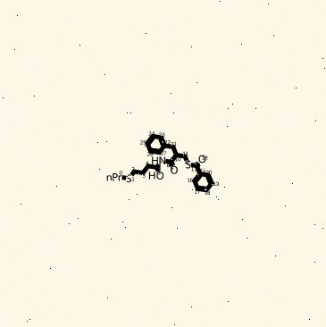 CCCSCCCC(O)NC(=O)C(CSC(=O)c1ccccc1)Cc1ccccc1